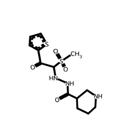 CS(=O)(=O)C(NNC(=O)C1CCCNC1)C(=O)c1cccs1